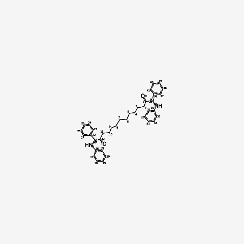 O=C(CCCCCCCCCCC(=O)N(Nc1ccccc1)c1ccccc1)N(Nc1ccccc1)c1ccccc1